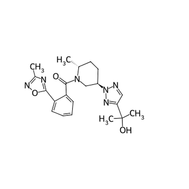 Cc1noc(-c2ccccc2C(=O)N2C[C@H](n3ncc(C(C)(C)O)n3)CC[C@H]2C)n1